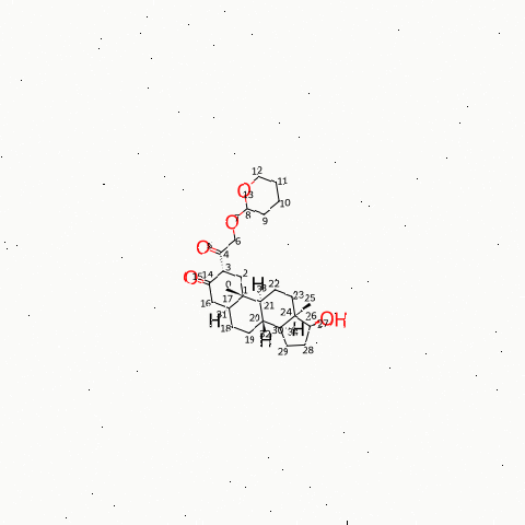 C[C@]12C[C@@H](C(=O)COC3CCCCO3)C(=O)C[C@@H]1CC[C@@H]1[C@@H]2CC[C@]2(C)[C@@H](O)CC[C@@H]12